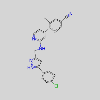 Cc1cc(C#N)ccc1-c1ccnc(NCc2cc(-c3ccc(Cl)cc3)[nH]n2)c1